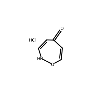 Cl.O=C1C=CNOC=C1